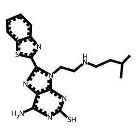 CC(C)CCNCCn1c(-c2nc3ccccc3s2)nc2c(N)nc(S)nc21